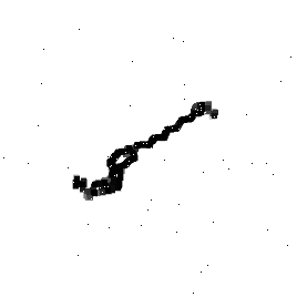 CCCCCCCCCN1CCC(NC)CC1